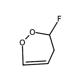 FC1CC=COO1